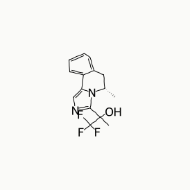 C[C@H]1Cc2ccccc2-c2cnc(C(C)(O)C(F)(F)F)n21